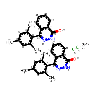 Cc1cc(C)c(-c2n[nH]c(=O)c3ccccc23)c(C)c1.Cc1cc(C)c(-c2n[nH]c(=O)c3ccccc23)c(C)c1.[Cl-].[Cl-].[Zr+2]